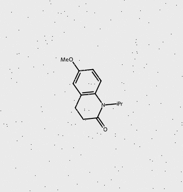 COc1ccc2c(c1)CCC(=O)N2C(C)C